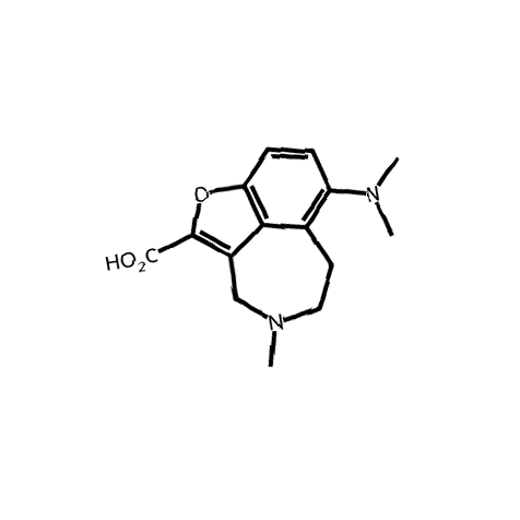 CN1CCc2c(N(C)C)ccc3oc(C(=O)O)c(c23)C1